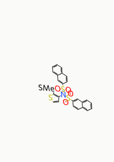 CSc1sccc1N(S(=O)(=O)c1ccc2ccccc2c1)S(=O)(=O)c1ccc2ccccc2c1